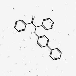 O=C(c1ccccc1)C(Nc1ccc(-c2ccccc2)cc1)c1ccccc1